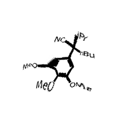 CCCCC(C#N)(c1cc(OC)c(OC)c(OC)c1)C(C)C